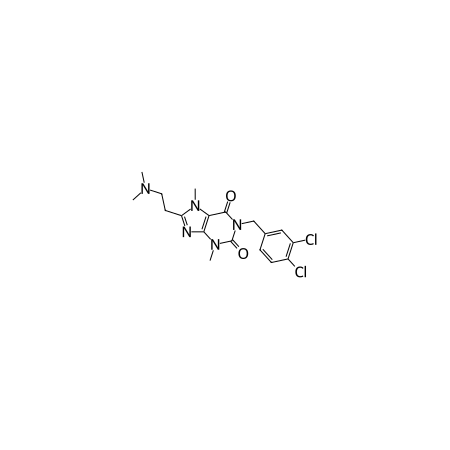 CN(C)CCc1nc2c(c(=O)n(Cc3ccc(Cl)c(Cl)c3)c(=O)n2C)n1C